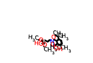 CCO[Si](O)(CCCNC(=O)C1C(C(C)CC)C=CC(C)(C)C1C(=O)O)OCC